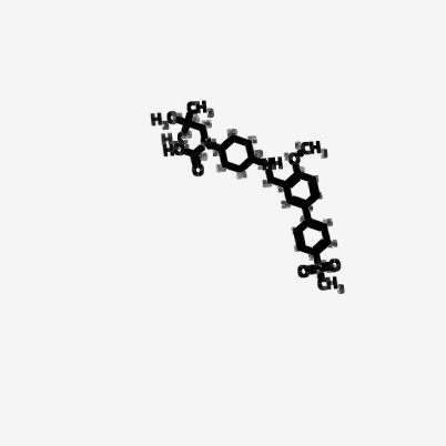 COc1ccc(-c2ccc(S(C)(=O)=O)cc2)cc1CNC1CCC(N(CC(C)(C)C)C(=O)O)CC1